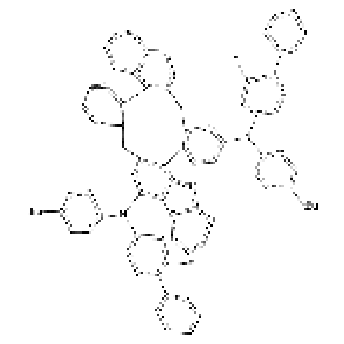 CC(C)(C)c1ccc(N(c2ccc(-c3ccccc3)c(F)c2)c2ccc3c(c2)Cc2ccc4ccccc4c2-c2c(ccc4ccccc24)Cc2cc(N(c4ccc(C(C)(C)C)cc4)c4ccc(-c5ccccc5)c(F)c4)c4c(oc5ccccc54)c2-3)cc1